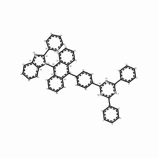 c1ccc(-c2nc(-c3ccccc3)nc(-c3ccc(-c4c5ccccc5c(-n5c(-c6ccccn6)nc6ccccc65)c5ccccc45)cc3)n2)cc1